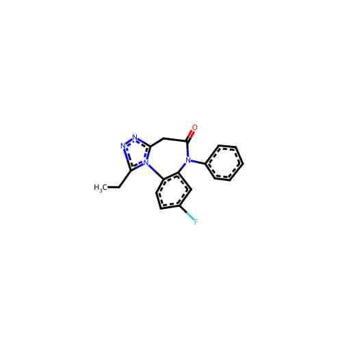 CCc1nnc2n1-c1ccc(F)cc1N(c1ccccc1)C(=O)C2